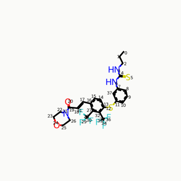 CCCNC(=S)Nc1cccc(Sc2ccc(/C=C/C(=O)N3CCOCC3)c(C(F)(F)F)c2C(F)(F)F)c1